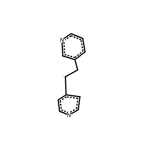 [CH](Cc1cccnc1)c1ccncc1